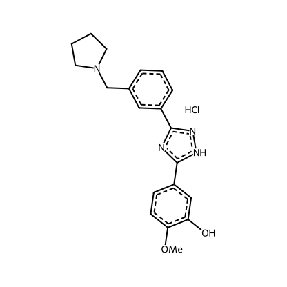 COc1ccc(-c2nc(-c3cccc(CN4CCCC4)c3)n[nH]2)cc1O.Cl